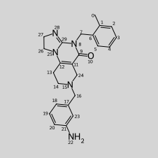 Cc1ccccc1CN1C(=O)C2=C(CCN(Cc3cccc(N)c3)C2)N2CCN=C12